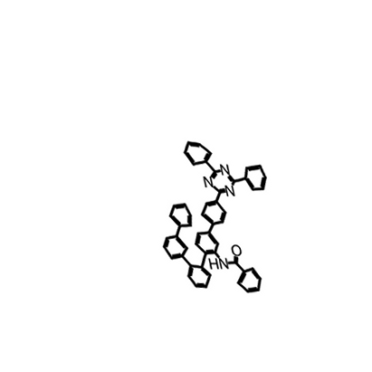 O=C(Nc1cc(-c2ccc(-c3nc(-c4ccccc4)nc(-c4ccccc4)n3)cc2)ccc1-c1ccccc1-c1cccc(-c2ccccc2)c1)c1ccccc1